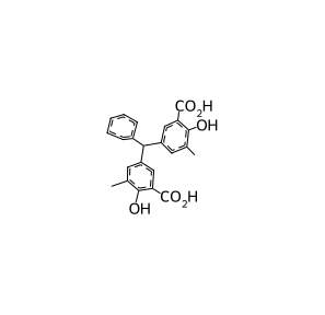 Cc1cc(C(c2ccccc2)c2cc(C)c(O)c(C(=O)O)c2)cc(C(=O)O)c1O